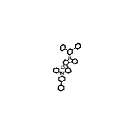 c1ccc(-c2ccc(N(c3ccccc3)c3cccc4c3oc3ccc5c(c6ccccc6n5-c5cc(-c6ccccc6)cc(-c6ccccc6)c5)c34)cc2)cc1